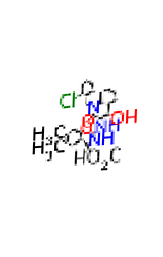 Cc1ccc([C@H](CC(=O)O)NC(=O)Nc2c(O)c3ccccc3n(Cc3ccccc3Cl)c2=O)cc1C